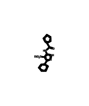 CCOC(=O)c1c(-c2ccccc2)n[nH]c1NC(=O)c1ccccc1